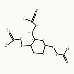 O=C(Cl)COC1CCC(OCC(=O)Cl)C(OCC(=O)Cl)C1